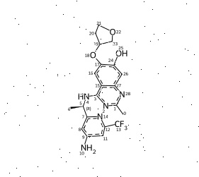 Cc1nc(N[C@H](C)c2cc(N)cc(C(F)(F)F)n2)c2cc(OC3CCOC3)c(O)cc2n1